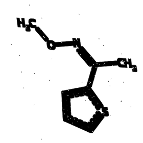 CO/N=C(/C)c1cccs1